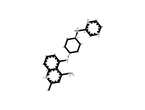 Cc1cc(N)c2c(O[C@H]3CC[C@H](Nc4cnccn4)CC3)cccc2n1